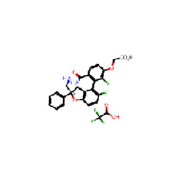 NC[C@@]1(c2ccccc2)Cc2c(ccc(Cl)c2-c2c(C(N)=O)ccc(OCC(=O)O)c2F)O1.O=C(O)C(F)(F)F